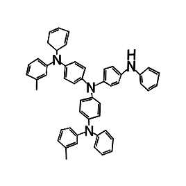 Cc1cccc(N(c2ccccc2)c2ccc(N(c3ccc(Nc4ccccc4)cc3)c3ccc(N(c4cccc(C)c4)C4C=CC=CC4)cc3)cc2)c1